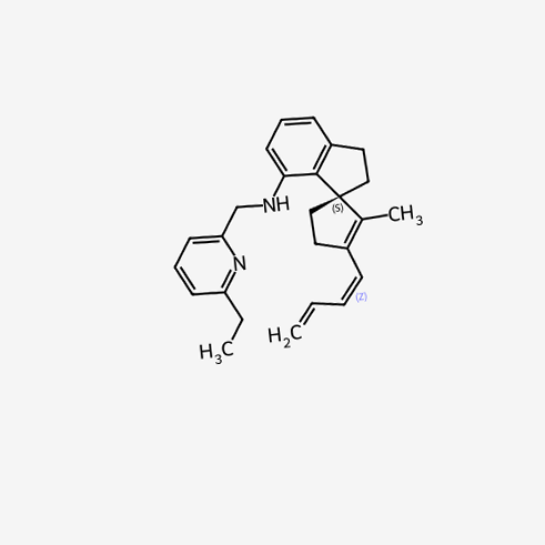 C=C/C=C\C1=C(C)[C@@]2(CC1)CCc1cccc(NCc3cccc(CC)n3)c12